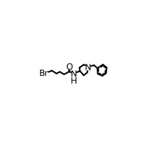 O=C(CCCCBr)NC1CCN(Cc2ccccc2)CC1